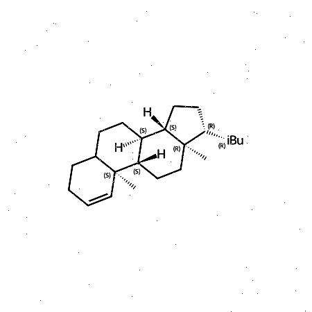 CC[C@@H](C)[C@H]1CC[C@H]2[C@@H]3CCC4CCC=C[C@]4(C)[C@H]3CC[C@]12C